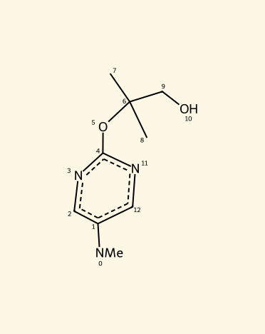 CNc1cnc(OC(C)(C)CO)nc1